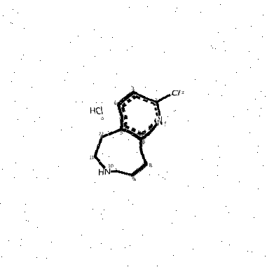 Cl.Clc1ccc2c(n1)CCNCC2